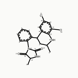 CC1CC(c2ccccc2N2C(=O)NC(C)C2=O)c2cc(Cl)cc(Cl)c2N1